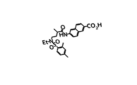 CCN(CCC(C)C(=O)Nc1ccc2cc(C(=O)O)ccc2c1)S(=O)(=O)c1ccc(C)cc1C